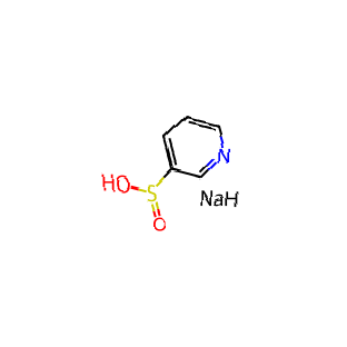 O=S(O)c1cccnc1.[NaH]